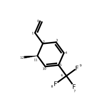 C=CC1C=CC(C(F)(F)F)=C[C@H]1C